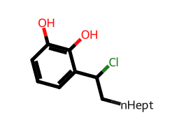 CCCCCCCCC(Cl)c1cccc(O)c1O